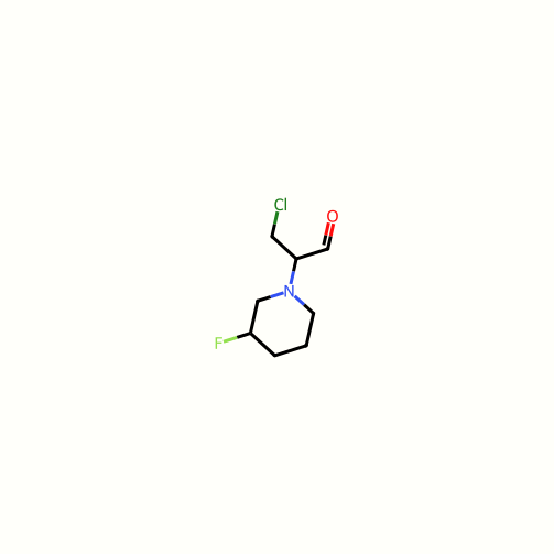 O=CC(CCl)N1CCCC(F)C1